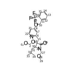 COCOC1(Cc2cc(OCc3ccccc3C(F)(F)F)ccn2)C(=O)N(COC)C1CC(C)C